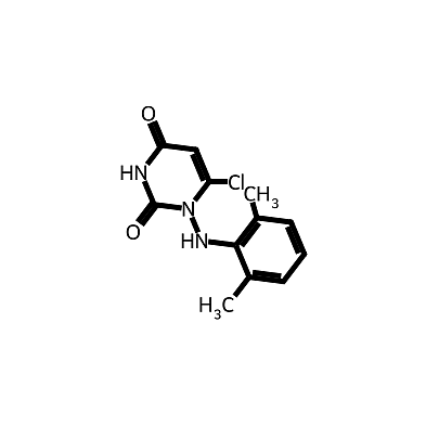 Cc1cccc(C)c1Nn1c(Cl)cc(=O)[nH]c1=O